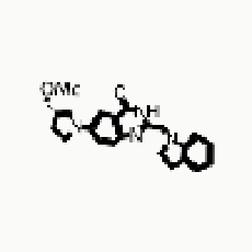 COC[C@H]1CCN(c2ccc3nc(CN4CCc5ccccc54)[nH]c(=O)c3c2)C1